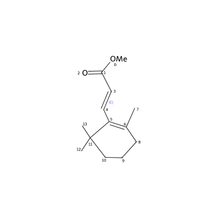 COC(=O)/C=C/C1=C(C)CCCC1(C)C